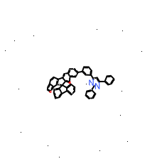 c1ccc(-c2cc(-c3cccc(-c4ccc5cc6c(cc5c4)C4(c5ccccc5-c5ccccc54)c4c-6ccc5ccccc45)c3)nc(-c3ccccc3)n2)cc1